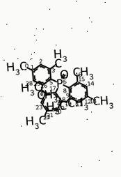 Cc1cc(C)c(P(=O)(c2c(C)cc(C)cc2C)c2c(C)cc(C)cc2C)c(C)c1